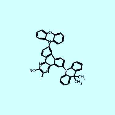 CC1(C)c2ccccc2N(c2ccc3c4cc(N5c6ccccc6Oc6ccccc65)ccc4c4nc(C#N)c(F)nc4c3c2)c2ccccc21